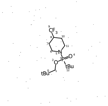 CC(C)(C)COP(=O)(N1CCC(C(F)(F)F)CC1)C(C)(C)C